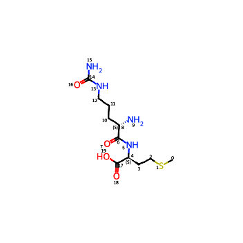 CSCC[C@H](NC(=O)[C@@H](N)CCCNC(N)=O)C(=O)O